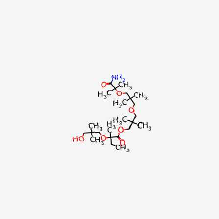 CCC(C)(OCC(C)(C)CO)C(=O)OCC(C)(C)COCC(C)(C)COC(C)(C)C(N)=O